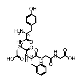 N[C@@H](Cc1ccc(O)cc1)C(=O)N[C@@H](CC(=O)O)C(=O)N[C@@H](Cc1ccccc1)C(=O)NCC(=O)NCC(=O)O